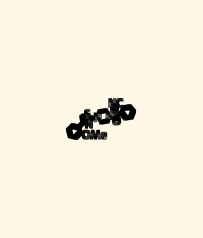 COc1ccccc1-c1csc(N2CCN(S(=O)(=O)c3ccccc3C#N)CC2)n1